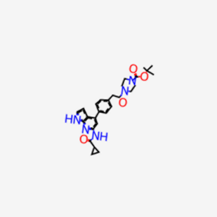 CC(C)(C)OC(=O)N1CCN(C(=O)Cc2ccc(-c3cc(NC(=O)C4CC4)nc4[nH]ccc34)cc2)CC1